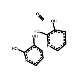 C=O.Oc1cccnc1O.Oc1cccnc1O